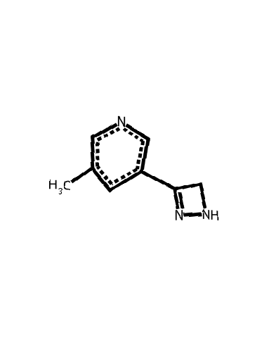 Cc1cncc(C2=NNC2)c1